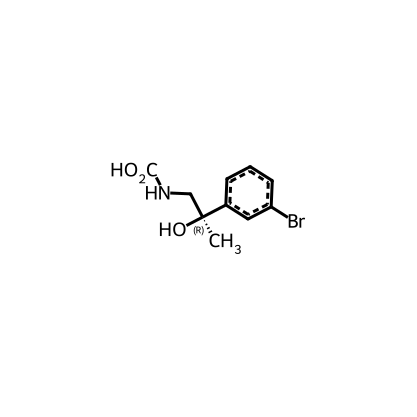 C[C@](O)(CNC(=O)O)c1cccc(Br)c1